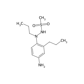 CCCc1cc(N)ccc1N(CCC)NS(C)(=O)=O